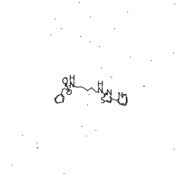 O=S(=O)(Cc1ccccc1)NCCCCCNc1nc(-c2ccccn2)cs1